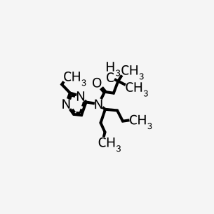 CCCC(CCC)N(C(=O)CC(C)(C)C)c1ccnc(CC)n1